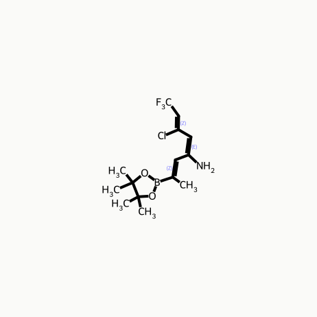 C\C(=C/C(N)=C\C(Cl)=C\C(F)(F)F)B1OC(C)(C)C(C)(C)O1